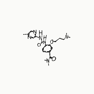 Cc1cnc(NC(=O)Nc2ccc(C(=O)N(C)C)cc2OCCCN(C)C)cn1